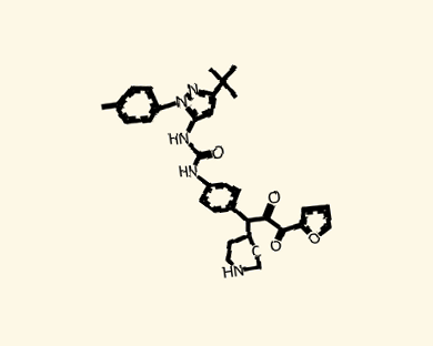 Cc1ccc(-n2nc(C(C)(C)C)cc2NC(=O)Nc2ccc(C(C(=O)C(=O)c3ccco3)C3CCNCC3)cc2)cc1